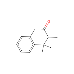 CC1C(=O)Cc2ccccc2C1(C)C